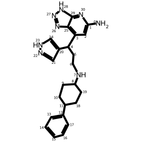 Nc1cc(C(CCNC2CCC(c3ccccc3)CC2)c2cn[nH]c2)c2nn[nH]c2n1